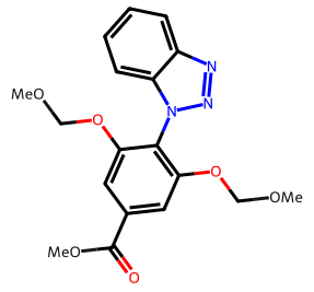 COCOc1cc(C(=O)OC)cc(OCOC)c1-n1nnc2ccccc21